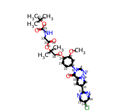 COc1cc(-n2cnn3cc(-c4ncc(Cl)cn4)cc3c2=O)ccc1OCC(C)(C)OC(=O)CNC(=O)OC(C)(C)C